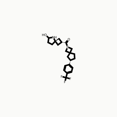 O=C([C@H]1C[C@]2(CCC(O)N2)C1)N1CC2(CC[C@H](c3ccc(C(F)(F)F)cc3)C2)C1